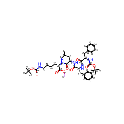 CC(C)C[C@@H](NC(=O)[C@@H](Cc1ccccc1)NC(=O)[C@@H](Cc1ccccc1)NC(=O)OC(C)(C)C)C(=O)N[C@H](CCCCNC(=O)OC(C)(C)C)C(=O)OI